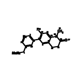 CNCc1cncc(-c2cc3c(cc2F)N(C)C(=O)CC3)c1